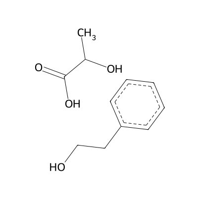 CC(O)C(=O)O.OCCc1ccccc1